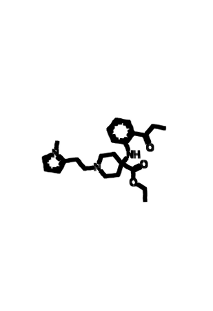 CCOC(=O)C1(Nc2ccccc2C(=O)CC)CCN(CCc2cccn2C)CC1